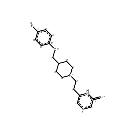 O=c1cncc(CCN2CCC(COc3ccc(F)cc3)CC2)[nH]1